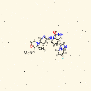 CNC[C@@H]1OCCN(c2ccc(Nc3ccc(-c4cnc5cc(F)ccn45)c4c3C(=O)NC4)nc2)[C@@H]1C